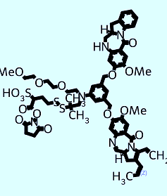 C=CC1=C(/C=C\C)C[C@H]2C=Nc3cc(OCc4cc(COc5cc6c(cc5OC)C(=O)N5c7ccccc7C[C@H]5CN6)cc(N(CCOCCOCCOC)CC(C)(C)SSCCC(C(=O)ON5C(=O)CCC5=O)S(=O)(=O)O)c4)c(OC)cc3C(=O)N12